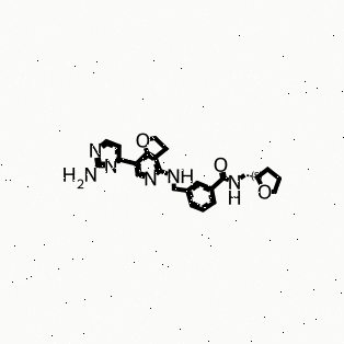 Nc1nccc(-c2cnc(NCc3cccc(C(=O)NC[C@@H]4CCCO4)c3)c3c2OCC3)n1